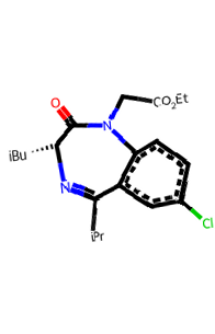 CCOC(=O)CN1C(=O)C([C@@H](C)CC)N=C(C(C)C)c2cc(Cl)ccc21